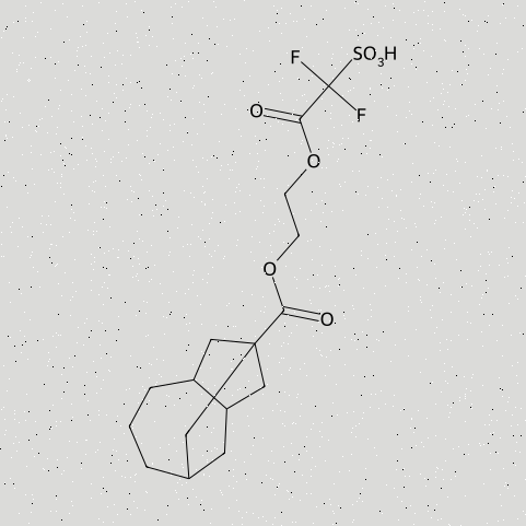 O=C(OCCOC(=O)C(F)(F)S(=O)(=O)O)C12CC3CCCC(C1)C(C3)C2